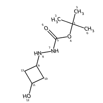 CC(C)(C)OC(=O)NNC1CC(O)C1